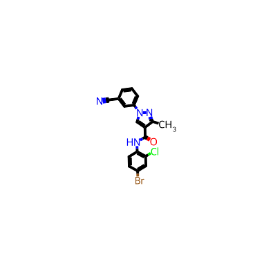 Cc1nn(-c2cccc(C#N)c2)cc1C(=O)Nc1ccc(Br)cc1Cl